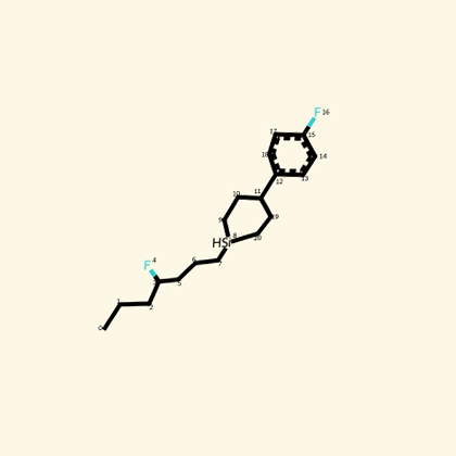 CCCC(F)CCC[SiH]1CCC(c2ccc(F)cc2)CC1